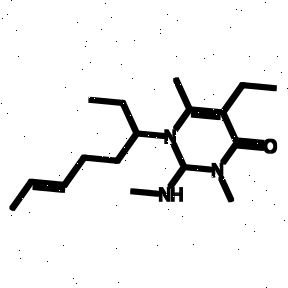 CC=CCCC(CC)N1C(C)=C(CC)C(=O)N(C)C1NC